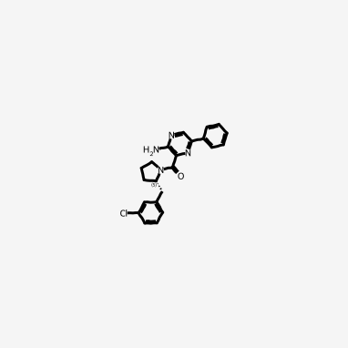 Nc1ncc(-c2ccccc2)nc1C(=O)N1CCC[C@H]1Cc1cccc(Cl)c1